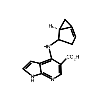 O=C(O)c1cnc2[nH]ccc2c1NC1CC=C2C[C@@H]21